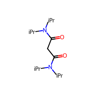 CC(C)N(C(=O)CC(=O)N(C(C)C)C(C)C)C(C)C